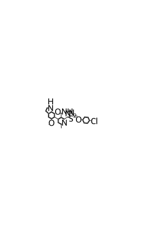 COc1cc2cc[nH]c2cc1-c1cc(C)nc(-c2nnc(COc3ccc(Cl)cc3)s2)c1C(N)=O